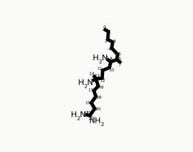 CCCCCCC(C)C(N)CCCC(C)(N)CCCCCC(N)N